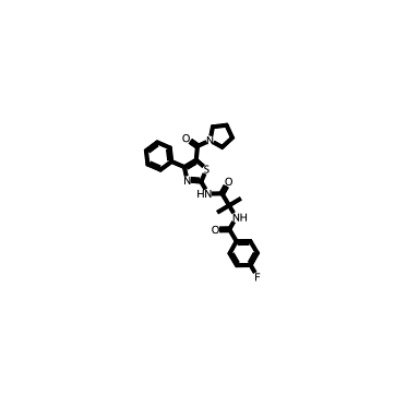 CC(C)(NC(=O)c1ccc(F)cc1)C(=O)Nc1nc(-c2ccccc2)c(C(=O)N2CCCC2)s1